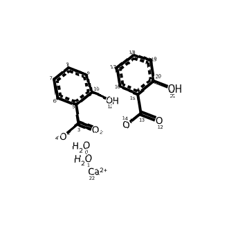 O.O.O=C([O-])c1ccccc1O.O=C([O-])c1ccccc1O.[Ca+2]